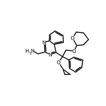 NCc1nc(C(COC2CCCCO2)(OC2CC2)c2ccccc2)c2ccccc2n1